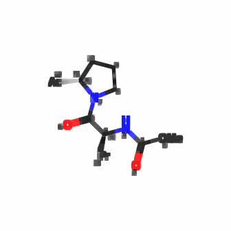 COC(=O)N[C@H](C(=O)N1CCC[C@H]1C(C)=O)C(C)C